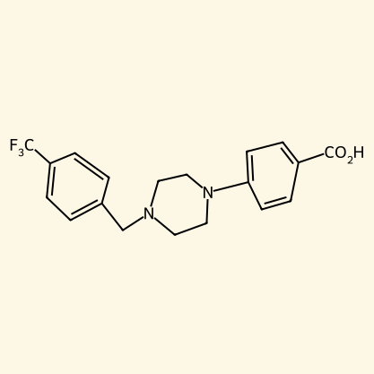 O=C(O)c1ccc(N2CCN(Cc3ccc(C(F)(F)F)cc3)CC2)cc1